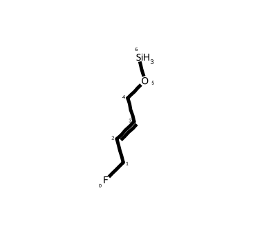 FCC=CCO[SiH3]